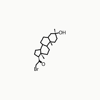 C[C@@]1(O)CC[C@@]2(C)C(CCC3C2CC[C@@]2(C)C3CC[C@@H]2C(=O)CBr)C1